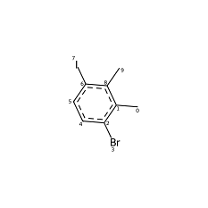 Cc1c(Br)ccc(I)c1C